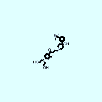 O=C(CCCN1CCC(O)(c2cccc(C(F)(F)F)c2)CC1)c1ccc(N(CCO)CCO)cc1F